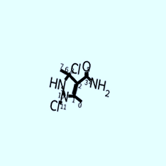 CC1=C(C(N)=O)C(C)(Cl)NN1Cl